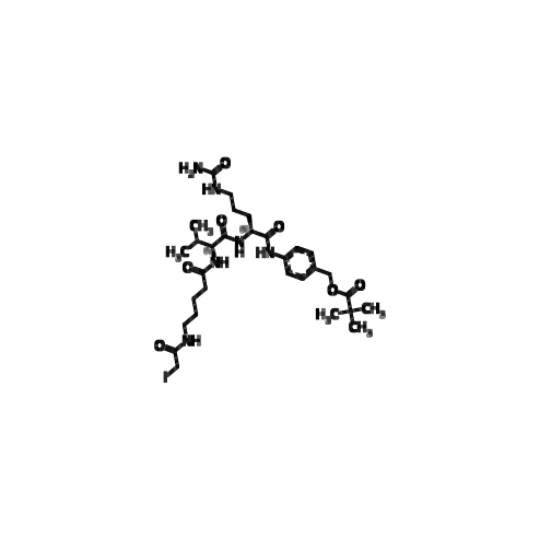 CC(C)[C@H](NC(=O)CCCCNC(=O)CI)C(=O)N[C@@H](CCCNC(N)=O)C(=O)Nc1ccc(COC(=O)C(C)(C)C)cc1